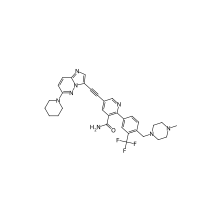 CN1CCN(Cc2ccc(-c3ncc(C#Cc4cnc5ccc(N6CCCCC6)nn45)cc3C(N)=O)cc2C(F)(F)F)CC1